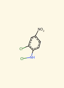 O=[N+]([O-])c1ccc(NCl)c(Cl)c1